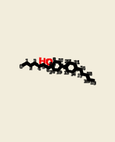 CCCCCCCC1(O)CCC(C2CCC(CCCCC)CC2)CC1